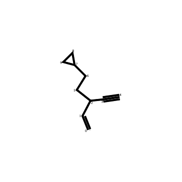 [CH]=CC(C#C)CCC1CC1